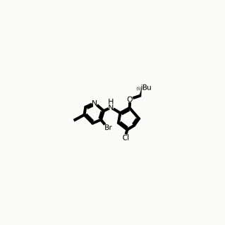 CC[C@H](C)COc1ccc(Cl)cc1Nc1ncc(C)cc1Br